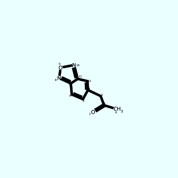 CC(=O)Cc1ccc2nonc2c1